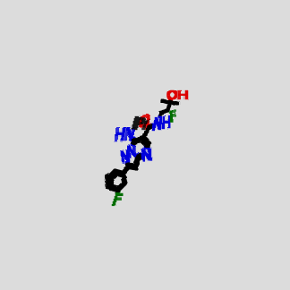 CC(C)Nc1c(C(=O)NC[C@@H](F)C(C)(C)O)cnc2cc(-c3cccc(F)c3)nn12